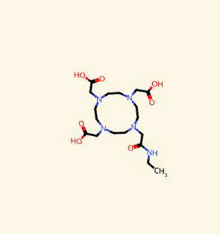 CCNC(=O)CN1CCN(CC(=O)O)CCN(CC(=O)O)CCN(CC(=O)O)CC1